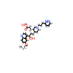 COc1ccc2nccc([C@H](O)CC[C@@H]3CCN(CCCc4cccnn4)C[C@H]3CCC(=O)O)c2c1